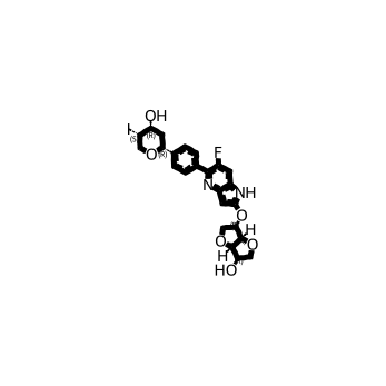 O[C@@H]1CO[C@H]2[C@@H]1OC[C@H]2Oc1cc2nc(-c3ccc([C@H]4C[C@@H](O)[C@@H](I)CO4)cc3)c(F)cc2[nH]1